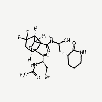 CC(C)C[C@@H](NC(=O)C(F)(F)F)C(=O)N1[C@H]2CC[C@@H]([C@H]1C(=O)N[C@@H](C#N)C[C@H]1CCCNC1=O)C(F)(F)C2